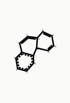 C1=Cc2ccccc2C2C=CC=CC=12